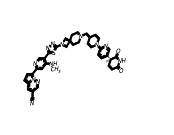 CNc1cc(-c2ccc3cc(C#N)cnn23)ncc1-c1nnc(N2CC3(CCN(CC4CCN(c5ccc([C@H]6CCC(=O)NC6=O)cn5)CC4)CC3)C2)s1